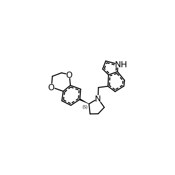 c1cc(CN2CCC[C@H]2c2ccc3c(c2)OCCO3)c2cc[nH]c2c1